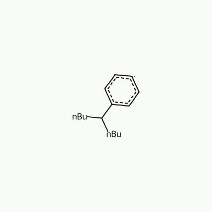 CCCCC(CCCC)c1cc[c]cc1